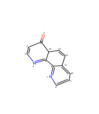 O=C1C=CN=C2c3ncccc3C=CC12